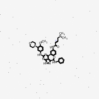 COc1ccc(Nc2nc(-c3cccc(NC(=O)/C=C/CN(C)C)c3)c3c(C(=O)Nc4ccccc4)n[nH]c3n2)cc1N1CCOCC1